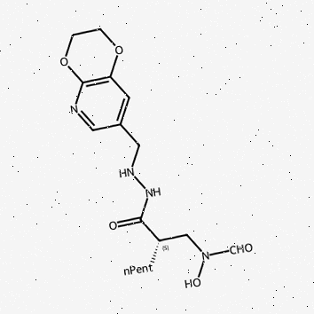 CCCCC[C@@H](CN(O)C=O)C(=O)NNCc1cnc2c(c1)OCCO2